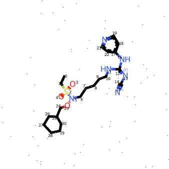 CCS(=O)(=O)N(CCCCCN/C(=N\C#N)Nc1ccncc1)OCC1CCCCC1